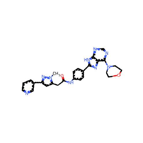 Cn1nc(-c2cccnc2)cc1CC(=O)Nc1ccc(-c2nc3c(N4CCOCC4)ncnc3[nH]2)cc1